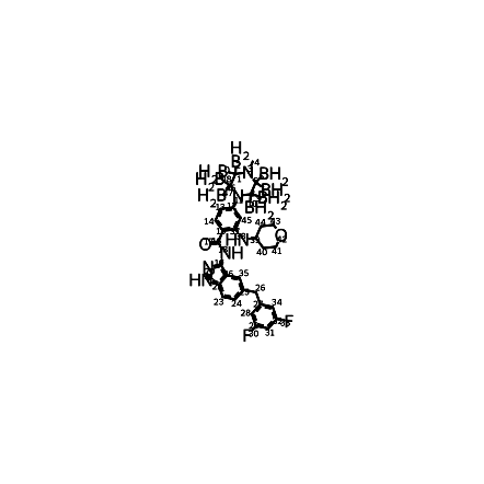 BC1(B)N(C)C(B)(B)C(B)(B)N(c2ccc(C(=O)Nc3n[nH]c4ccc(Cc5cc(F)cc(F)c5)cc34)c(NC3CCOCC3)c2)C1(B)B